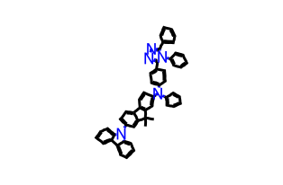 CC1(C)c2cc(N(c3ccccc3)c3ccc(-c4nnc(-c5ccccc5)n4-c4ccccc4)cc3)ccc2-c2ccc(-n3c4ccccc4c4ccccc43)cc21